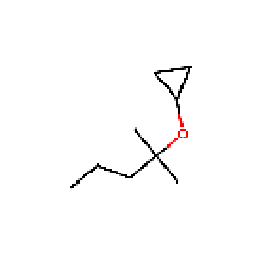 [CH2]CCC(C)(C)OC1CC1